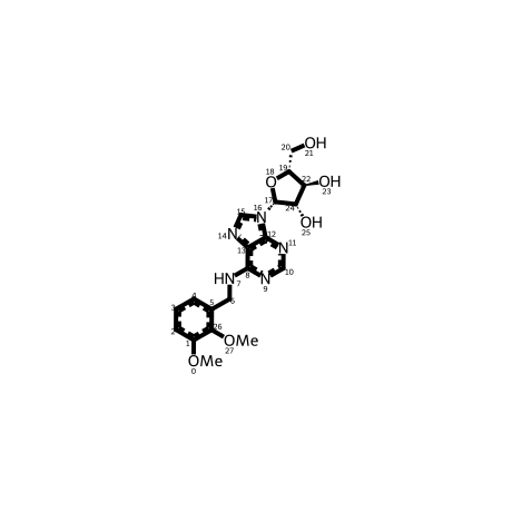 COc1cccc(CNc2ncnc3c2ncn3[C@@H]2O[C@H](CO)[C@@H](O)[C@@H]2O)c1OC